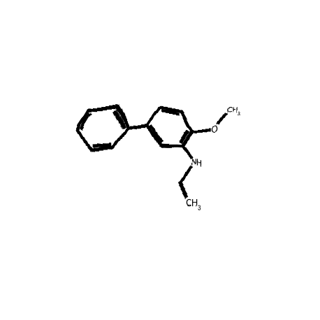 CCNc1cc(-c2ccccc2)ccc1OC